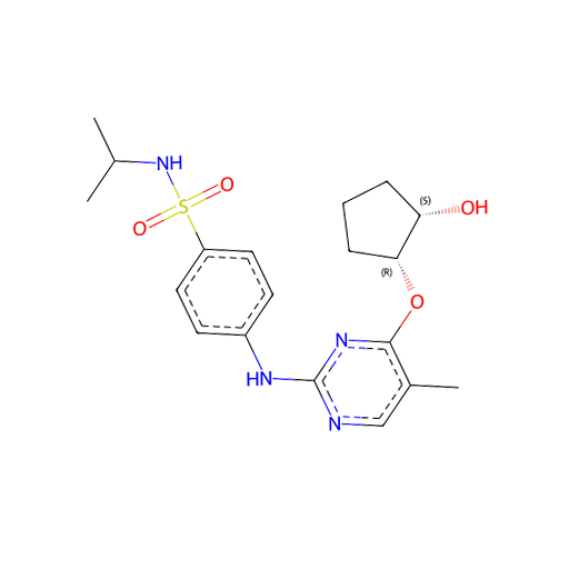 Cc1cnc(Nc2ccc(S(=O)(=O)NC(C)C)cc2)nc1O[C@@H]1CCC[C@@H]1O